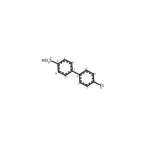 CCc1ccc(-c2ccc(S(=O)(=O)O)cc2)cc1